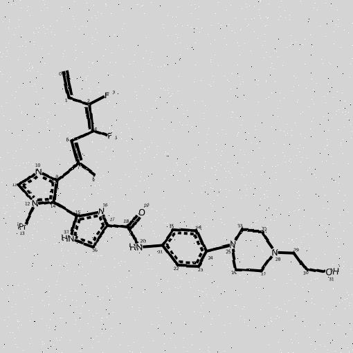 C=C/C(F)=C(F)\C=C(/C)c1ncn(C(C)C)c1-c1nc(C(=O)Nc2ccc(N3CCN(CCO)CC3)cc2)c[nH]1